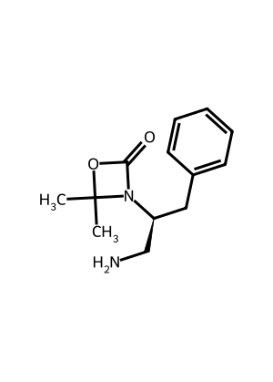 CC1(C)OC(=O)N1[C@H](CN)Cc1ccccc1